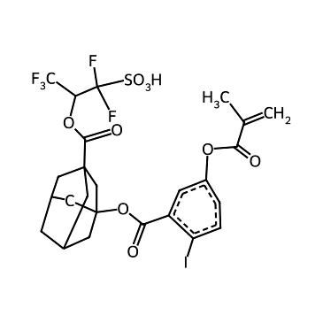 C=C(C)C(=O)Oc1ccc(I)c(C(=O)OC23CC4CC(C2)CC(C(=O)OC(C(F)(F)F)C(F)(F)S(=O)(=O)O)(C4)C3)c1